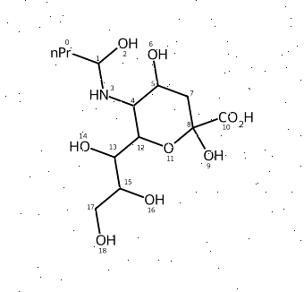 CCCC(O)NC1C(O)CC(O)(C(=O)O)OC1C(O)C(O)CO